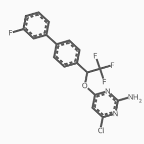 Nc1nc(Cl)cc(OC(c2ccc(-c3cccc(F)c3)cc2)C(F)(F)F)n1